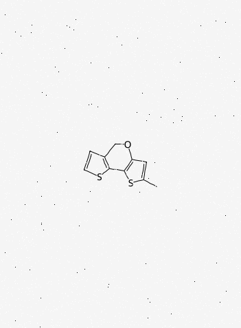 Cc1cc2c(s1)-c1sccc1CO2